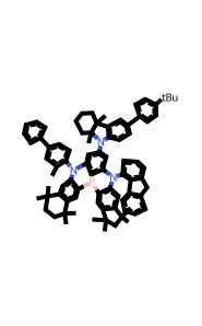 Cc1cc(-c2ccccc2)ccc1N1c2cc3c(cc2B2c4cc5c(cc4N(c4cccc6c4-c4ccccc4C6)c4cc(N6c7ccc(-c8ccc(C(C)(C)C)cc8)cc7C7(C)CCCCC67C)cc1c42)C(C)(C)CC5(C)C)C(C)(C)CCC3(C)C